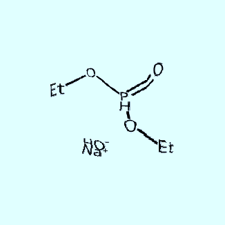 CCO[PH](=O)OCC.[Na+].[OH-]